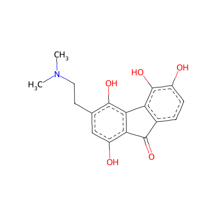 CN(C)CCc1cc(O)c2c(c1O)-c1c(ccc(O)c1O)C2=O